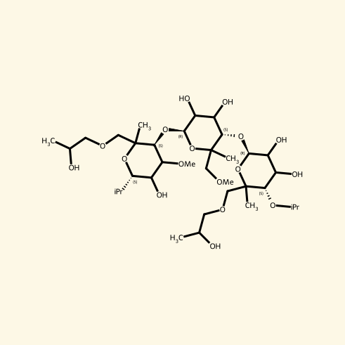 COCC1(C)O[C@@H](O[C@H]2C(OC)C(O)[C@H](C(C)C)OC2(C)COCC(C)O)C(O)C(O)[C@@H]1O[C@@H]1OC(C)(COCC(C)O)[C@@H](OC(C)C)C(O)C1O